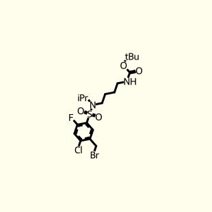 CC(C)N(CCCCNC(=O)OC(C)(C)C)S(=O)(=O)c1cc(CBr)c(Cl)cc1F